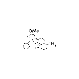 COC(=O)Cc1c2c(cn1Cc1ccccc1)C1(C)CCCC(C)C1CC2